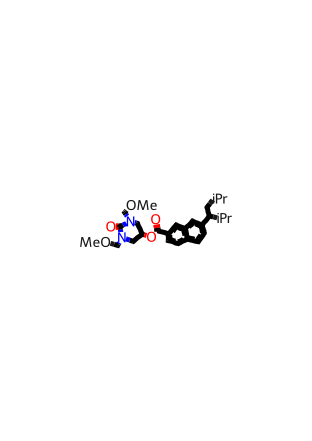 COCN1CC(OC(=O)c2ccc3ccc(C(CC(C)C)C(C)C)cc3c2)CN(COC)C1=O